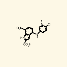 O=C(O)c1cc2c(Nc3ccc(Cl)c(F)c3)ccc([N+](=O)[O-])c2[nH]1